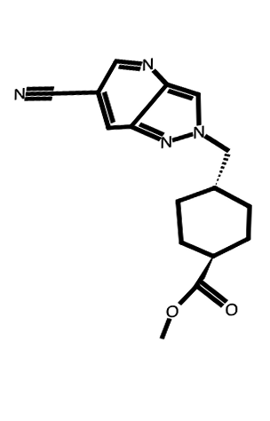 COC(=O)[C@H]1CC[C@H](Cn2cc3ncc(C#N)cc3n2)CC1